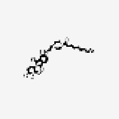 O=C1CCC(N2C(=O)c3ccc(NCCN4CCN(C(=O)CCCCCCCBr)CC4)cc3C2=O)C(=O)N1